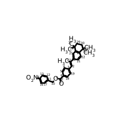 C/C(=C\c1ccc(C(=O)OCc2ccc([N+](=O)[O-])cc2)cc1)c1ccc2c(c1)C(C)(C)CCC2(C)C